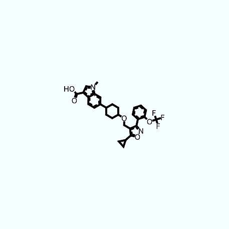 Cn1cc(C(=O)O)c2ccc(C3CCC(OCc4c(-c5ccccc5OC(F)(F)F)noc4C4CC4)CC3)cc21